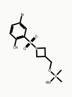 CC(C)(C)[Si](C)(C)OCC1CN(S(=O)(=O)c2cc(Br)ccc2C#N)C1